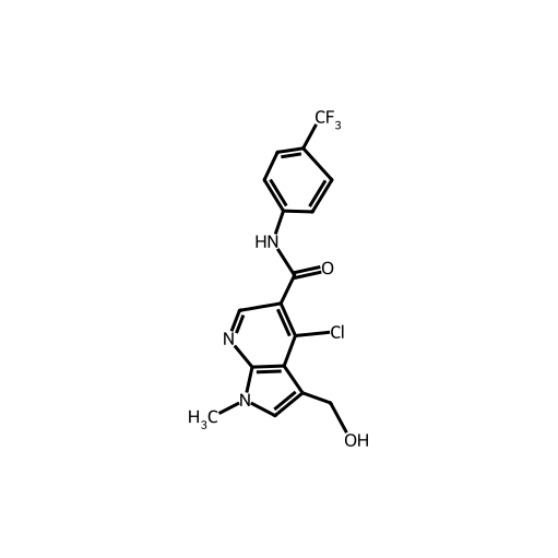 Cn1cc(CO)c2c(Cl)c(C(=O)Nc3ccc(C(F)(F)F)cc3)cnc21